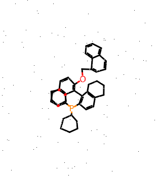 c1ccc2c(COc3ccc4c(c3-c3c(P(C5CCCCC5)C5CCCCC5)ccc5c3CCCC5)CCCC4)cccc2c1